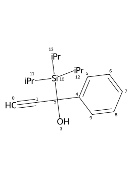 C#CC(O)(c1ccccc1)[Si](C(C)C)(C(C)C)C(C)C